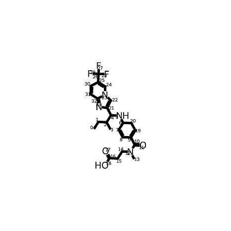 CCC(C)C(NC1C=CC(C(=O)N(C)CCC(=O)O)=CC1)c1cn2cc(C(F)(F)F)ccc2n1